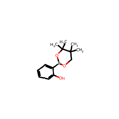 CC1(C)COB(c2ccccc2O)OC1(C)C